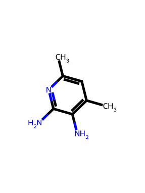 Cc1cc(C)c(N)c(N)n1